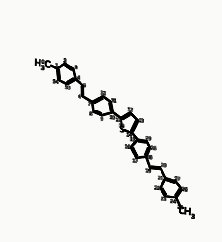 Cc1ccc(/C=C/c2ccc(-c3ccc(-c4ccc(/C=C/c5ccc(C)cc5)cc4)s3)cc2)cc1